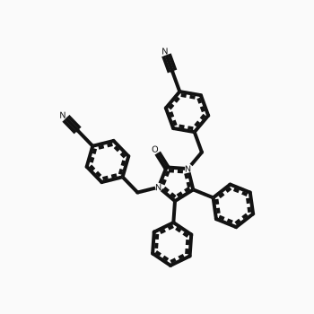 N#Cc1ccc(Cn2c(-c3ccccc3)c(-c3ccccc3)n(Cc3ccc(C#N)cc3)c2=O)cc1